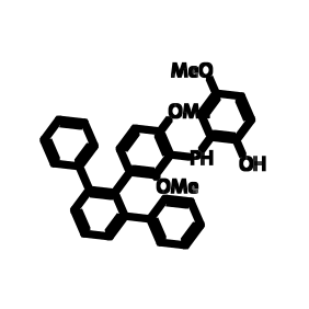 COc1ccc(O)c(Pc2c(OC)ccc(-c3c(-c4ccccc4)cccc3-c3ccccc3)c2OC)c1